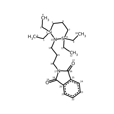 CC[Si]1(CC)CCC[Si](CC)(CC)N1CCCN1C(=O)c2ccccc2C1=O